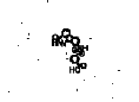 O=C(O)c1cccc(S(=O)(=O)Nc2ccc3c(c2)-c2n[nH]c(=O)c4cccc-3c24)c1